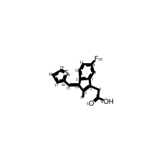 CC1=C(CC(=O)O)c2cc(F)ccc2/C1=C\c1cccs1